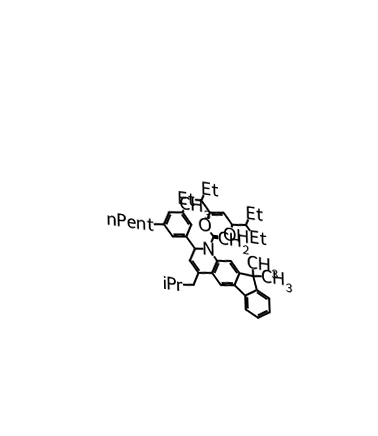 C=C(O/C(=C\C(O)C(CC)CC)C(CC)CC)N1c2cc3c(cc2C(CC(C)C)=CC1c1cc(C)cc(CCCCC)c1)-c1ccccc1C3(C)C